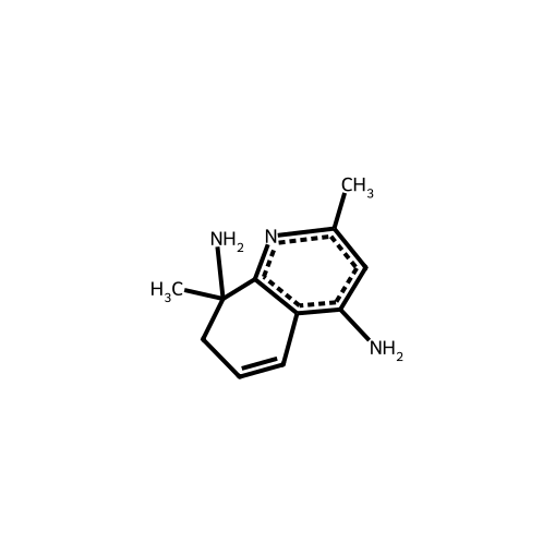 Cc1cc(N)c2c(n1)C(C)(N)CC=C2